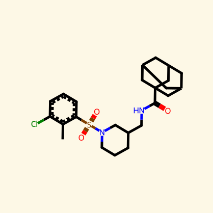 Cc1c(Cl)cccc1S(=O)(=O)N1CCCC(CNC(=O)C23CC4CC(CC(C4)C2)C3)C1